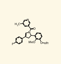 CCCOc1cccc(C2CC(c3ccc(F)cc3)=CN2C(=O)c2cncc(C)c2)c1OC